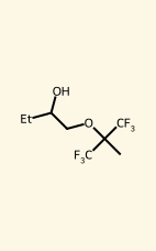 CCC(O)COC(C)(C(F)(F)F)C(F)(F)F